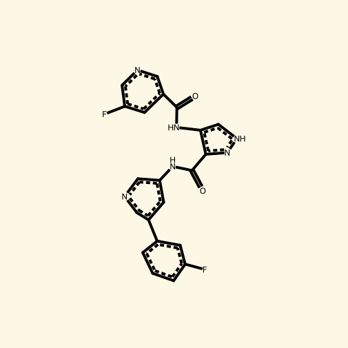 O=C(Nc1c[nH]nc1C(=O)Nc1cncc(-c2cccc(F)c2)c1)c1cncc(F)c1